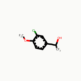 OC(c1ccc(OC(F)(F)F)c(Cl)c1)C(F)(F)F